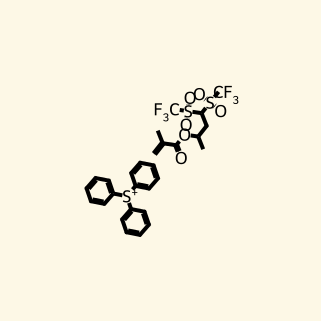 C=C(C)C(=O)OC(C)CC(S(=O)(=O)C(F)(F)F)S(=O)(=O)C(F)(F)F.c1ccc([S+](c2ccccc2)c2ccccc2)cc1